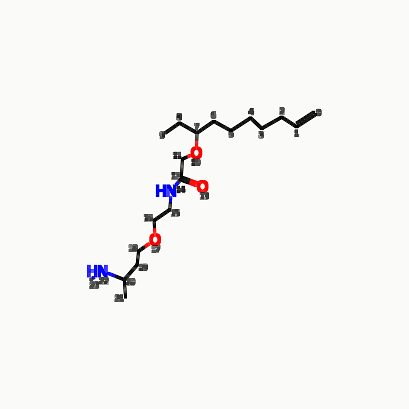 C=CCCCCCC(CC)OCC(=O)NCCOCCC(C)NC